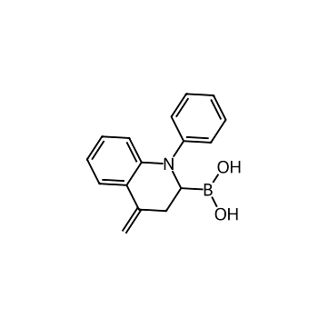 C=C1CC(B(O)O)N(c2ccccc2)c2ccccc21